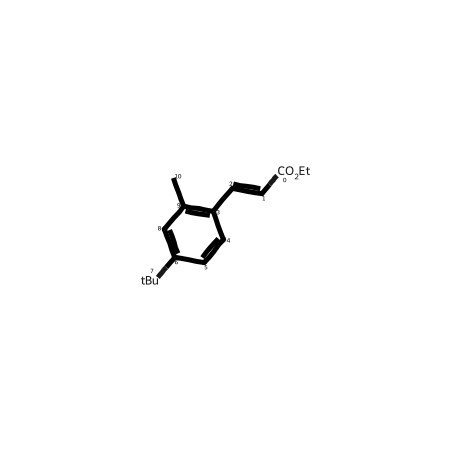 CCOC(=O)/C=C/c1ccc(C(C)(C)C)cc1C